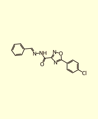 O=C(NN=Cc1ccccc1)c1noc(-c2ccc(Cl)cc2)n1